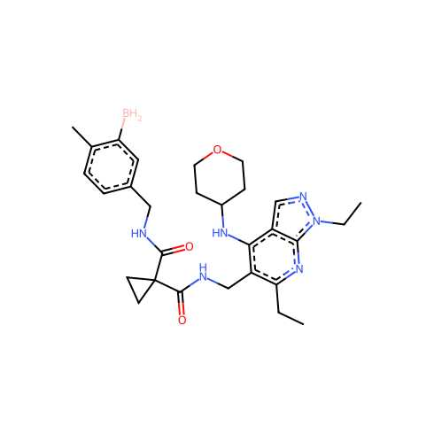 Bc1cc(CNC(=O)C2(C(=O)NCc3c(CC)nc4c(cnn4CC)c3NC3CCOCC3)CC2)ccc1C